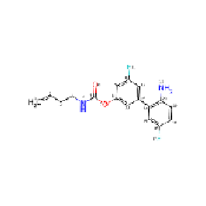 C=CCCNC(=O)Oc1cc(F)cc(-c2cc(F)ccc2N)c1